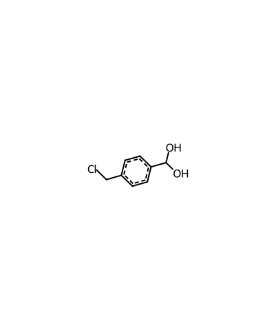 OC(O)c1ccc(CCl)cc1